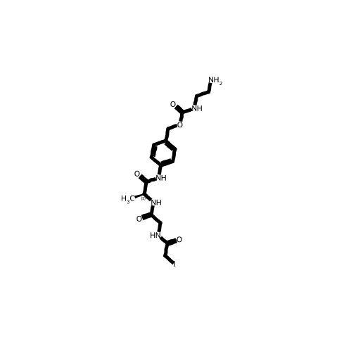 C[C@H](NC(=O)CNC(=O)CI)C(=O)Nc1ccc(COC(=O)NCCN)cc1